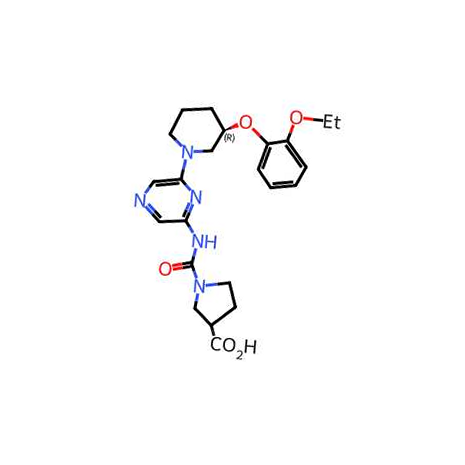 CCOc1ccccc1O[C@@H]1CCCN(c2cncc(NC(=O)N3CCC(C(=O)O)C3)n2)C1